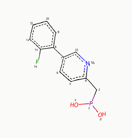 OP(O)Cc1ccc(-c2ccccc2F)cn1